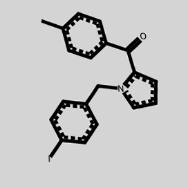 Cc1ccc(C(=O)c2cccn2Cc2ccc(I)cc2)cc1